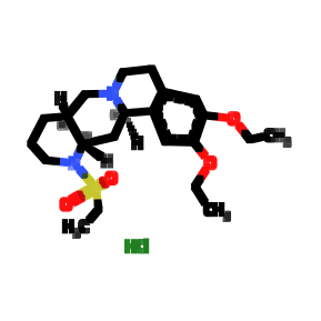 CCOc1cc2c(cc1OCC)[C@H]1C[C@H]3[C@H](CCCN3S(=O)(=O)CC)CN1CC2.Cl